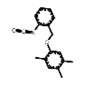 Cc1cc(C)c(OCc2ccccc2N=C=O)cc1C